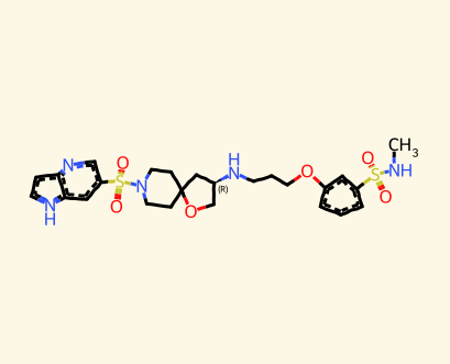 CNS(=O)(=O)c1cccc(OCCCN[C@H]2COC3(CCN(S(=O)(=O)c4cnc5cc[nH]c5c4)CC3)C2)c1